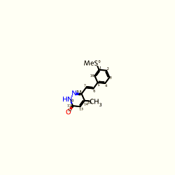 CSc1cccc(C=Cc2n[nH]c(=O)cc2C)c1